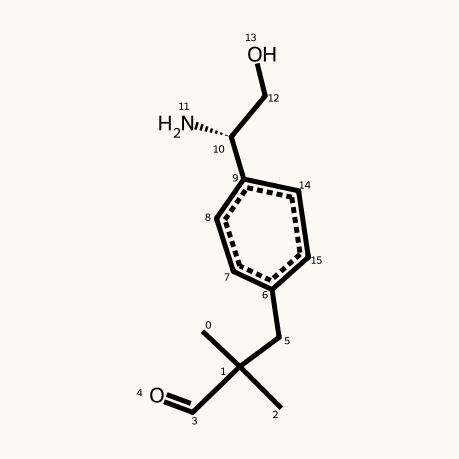 CC(C)(C=O)Cc1ccc([C@H](N)CO)cc1